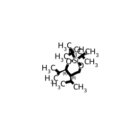 CC(C)[C@H]1O[Si](C(C)(C)C)(C(C)(C)C)OC[C@H]1C(C)C